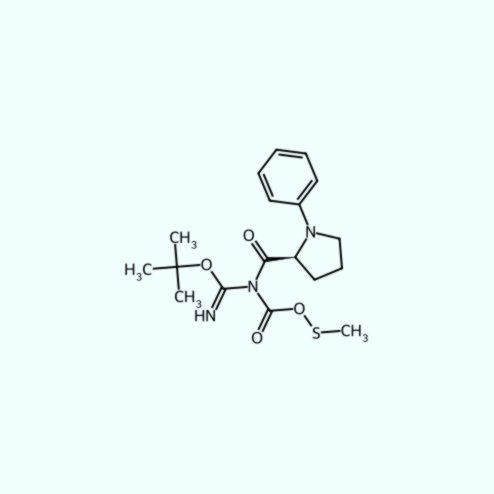 CSOC(=O)N(C(=N)OC(C)(C)C)C(=O)[C@@H]1CCCN1c1ccccc1